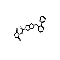 O=C(ON1C(=O)CCC1=O)N1CC2CN(Cc3ccccc3-c3ccccc3)CC2C1